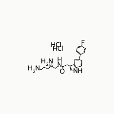 Cl.Cl.NCCC[C@H](N)CNC(=O)Cc1c[nH]c2ccc(-c3ccc(F)cc3)cc12